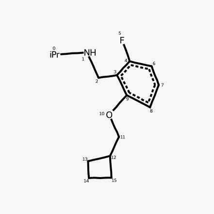 CC(C)NCc1c(F)cccc1OCC1CCC1